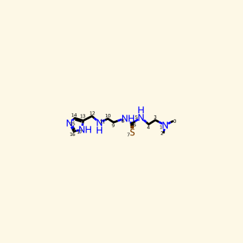 CN(C)CCNC(=S)NCCNCc1cnc[nH]1